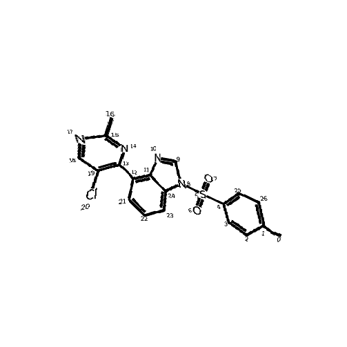 Cc1ccc(S(=O)(=O)n2cnc3c(-c4nc(C)ncc4Cl)cccc32)cc1